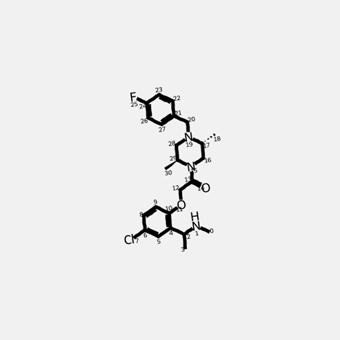 CNC(C)c1cc(Cl)ccc1OCC(=O)N1C[C@@H](C)N(Cc2ccc(F)cc2)C[C@@H]1C